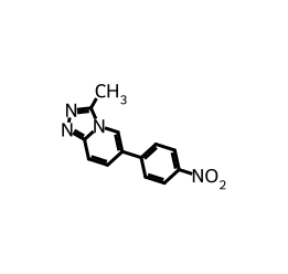 Cc1nnc2ccc(-c3ccc([N+](=O)[O-])cc3)cn12